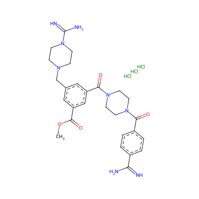 COC(=O)c1cc(CN2CCN(C(=N)N)CC2)cc(C(=O)N2CCN(C(=O)c3ccc(C(=N)N)cc3)CC2)c1.Cl.Cl.Cl